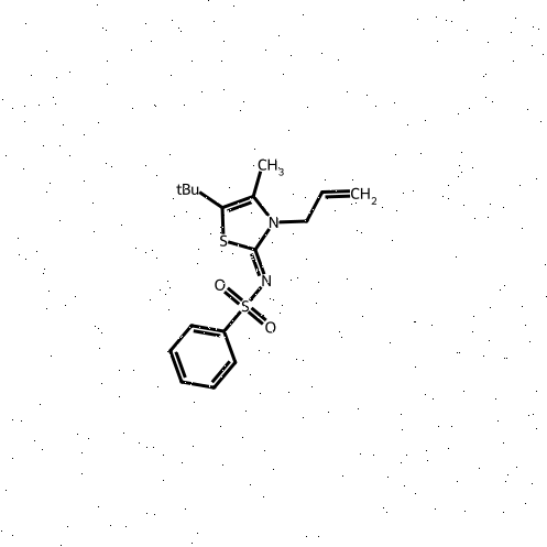 C=CCn1c(C)c(C(C)(C)C)s/c1=N\S(=O)(=O)c1ccccc1